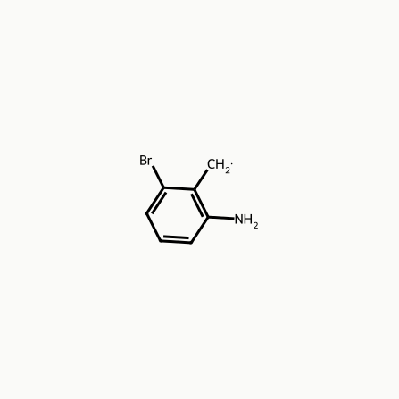 [CH2]c1c(N)cccc1Br